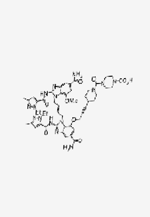 CCn1nc(C)cc1C(=O)Nc1nc2cc(C(N)=O)cc(OC)c2n1C/C=C/Cn1c(NC(=O)c2cc(C)nn2CC)nc2cc(C(N)=O)cc(OCC#CC3CCN(C(=O)N4CCN(C(=O)O)CC4)CC3)c21